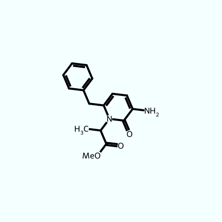 COC(=O)C(C)n1c(Cc2ccccc2)ccc(N)c1=O